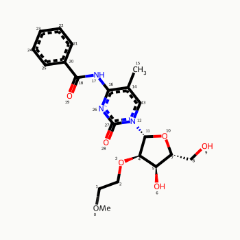 COCCO[C@@H]1[C@H](O)[C@@H](CO)O[C@H]1n1cc(C)c(NC(=O)c2ccccc2)nc1=O